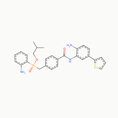 CC(C)COP(=O)(Cc1ccc(C(=O)Nc2cc(-c3cccs3)ccc2N)cc1)c1ccccc1N